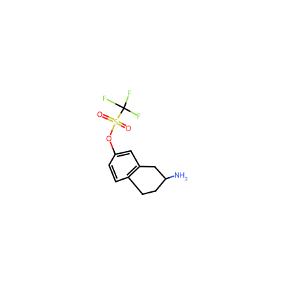 NC1CCc2ccc(OS(=O)(=O)C(F)(F)F)cc2C1